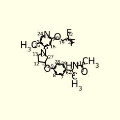 CC(=O)N[C@@H](C)c1ccc(OC2CCN(c3cc(OCC(F)F)ncc3C)C2)cc1